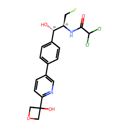 O=C(N[C@H](CF)[C@@H](O)c1ccc(-c2ccc(C3(O)COC3)nc2)cc1)C(Cl)Cl